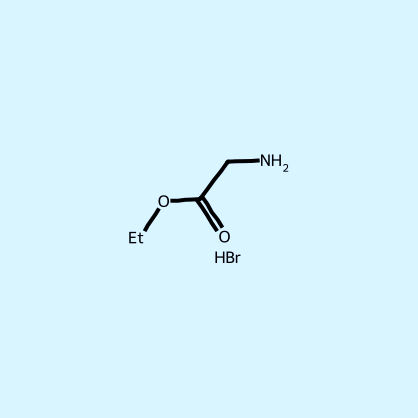 Br.CCOC(=O)CN